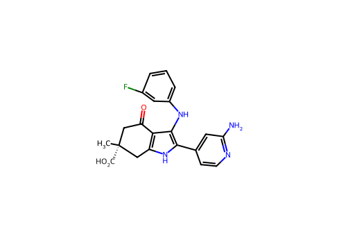 C[C@@]1(C(=O)O)CC(=O)c2c([nH]c(-c3ccnc(N)c3)c2Nc2cccc(F)c2)C1